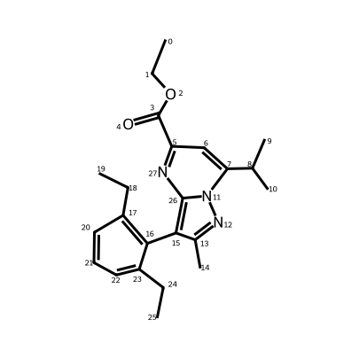 CCOC(=O)c1cc(C(C)C)n2nc(C)c(-c3c(CC)cccc3CC)c2n1